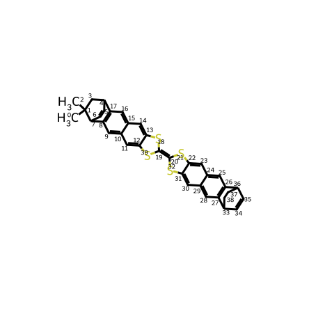 CC1(C)CC2C=CC1c1cc3cc4c(cc3cc12)SC(=C1Sc2cc3cc5c(cc3cc2S1)C1C=CC5CC1)S4